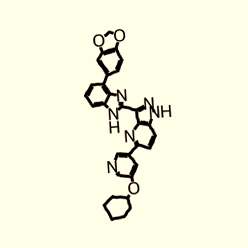 c1cc(-c2ccc3c(c2)OCO3)c2nc(-c3n[nH]c4ccc(-c5cncc(OC6CCCCC6)c5)nc34)[nH]c2c1